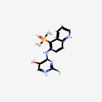 CP(C)(=O)c1c(Nc2nc(Cl)ncc2Br)ccc2ncccc12